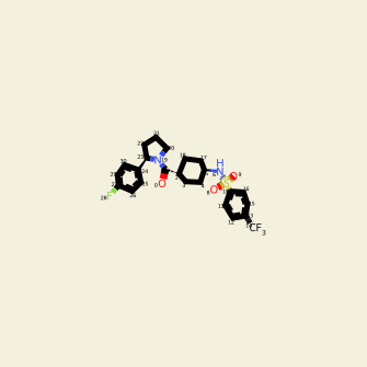 O=C([C@H]1CC[C@H](NS(=O)(=O)c2ccc(C(F)(F)F)cc2)CC1)N1CCC[C@@H]1c1ccc(F)cc1